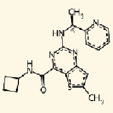 Cc1cc2nc(N[C@@H](C)c3ccccn3)nc(C(=O)NC3CCC3)c2s1